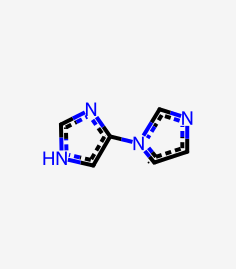 [c]1cncn1-c1c[nH]cn1